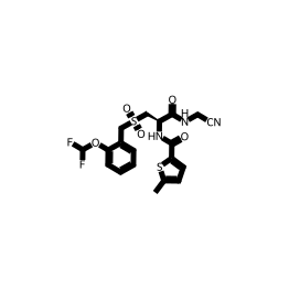 Cc1ccc(C(=O)N[C@@H](CS(=O)(=O)Cc2ccccc2OC(F)F)C(=O)NCC#N)s1